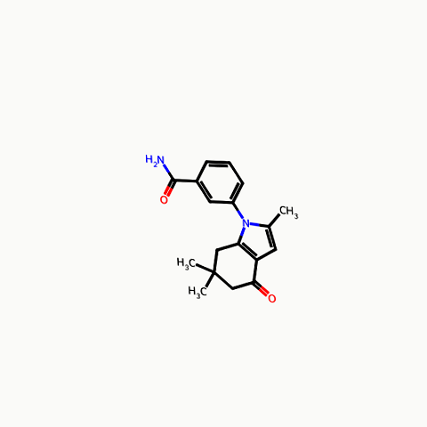 Cc1cc2c(n1-c1cccc(C(N)=O)c1)CC(C)(C)CC2=O